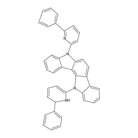 C1=CC(c2ccccc2)NC(n2c3ccccc3c3ccc4c(c5ccccc5n4-c4cccc(-c5ccccc5)n4)c32)=C1